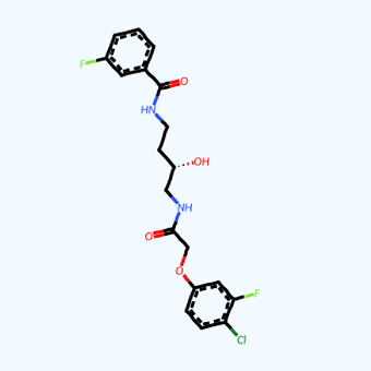 O=C(COc1ccc(Cl)c(F)c1)NC[C@@H](O)CCNC(=O)c1cccc(F)c1